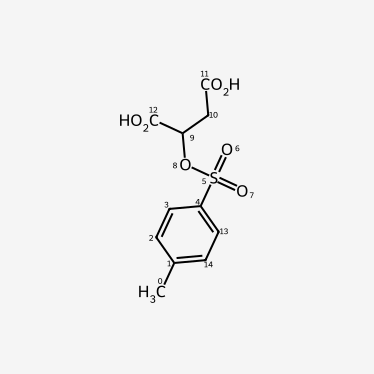 Cc1ccc(S(=O)(=O)OC(CC(=O)O)C(=O)O)cc1